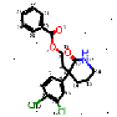 O=C(OCCC1(c2ccc(Cl)c(Cl)c2)CCCNC1=O)c1ccccc1